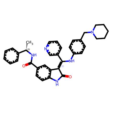 C[C@H](NC(=O)c1ccc2c(c1)/C(=C(/Nc1ccc(CN3CCCCC3)cc1)c1cccnc1)C(=O)N2)c1ccccc1